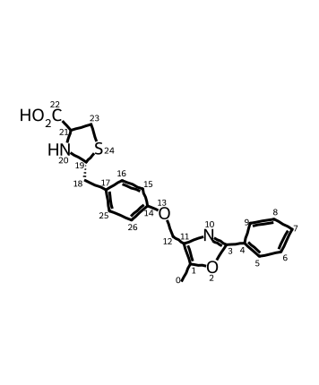 Cc1oc(-c2ccccc2)nc1COc1ccc(C[C@@H]2NC(C(=O)O)CS2)cc1